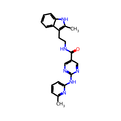 Cc1cccc(Nc2ncc(C(=O)NCCc3c(C)[nH]c4ccccc34)cn2)n1